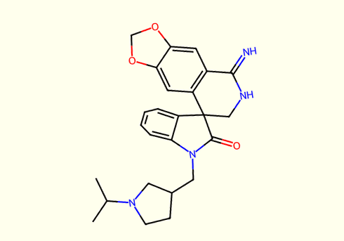 CC(C)N1CCC(CN2C(=O)C3(CNC(=N)c4cc5c(cc43)OCO5)c3ccccc32)C1